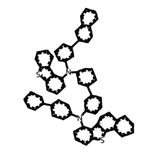 c1ccc(-c2ccc(N(c3cccc(-c4cccc(N(c5cccc(-c6ccc7ccccc7c6)c5)c5cccc6sc7ccccc7c56)c4)c3)c3cccc4sc5c6ccccc6ccc5c34)cc2)cc1